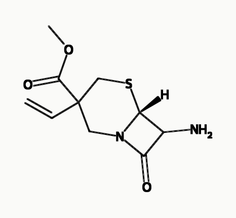 C=CC1(C(=O)OC)CS[C@@H]2C(N)C(=O)N2C1